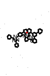 O=C1c2cccc(-n3c4ccccc4c4ccc(-c5nc(-c6ccccc6)nc(-c6ccccc6)n5)cc43)c2C(=O)N1c1c(-c2ccccc2)cc(-c2ccccc2)cc1-c1ccccc1